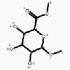 COC(=O)C1OC(OC)C(O)C(O)C1O